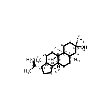 C=C(C)[C@H]1CC[C@H]2[C@@H]3CC[C@@H]4C[C@@](C)(O)CC[C@@H]4[C@H]3CC[C@]12C